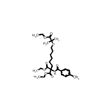 CCOC(=O)C(C)(C)OCCCCCCC(NC(=O)c1ccc(C)cc1)(C(=O)OCC)C(=O)OCC